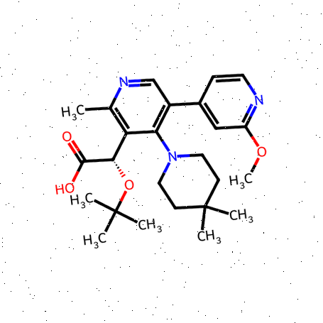 COc1cc(-c2cnc(C)c([C@H](OC(C)(C)C)C(=O)O)c2N2CCC(C)(C)CC2)ccn1